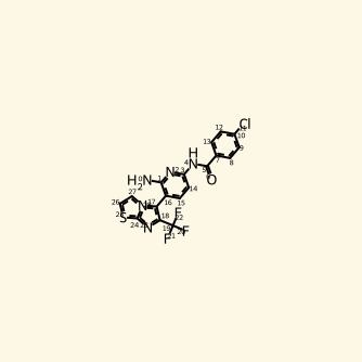 Nc1nc(NC(=O)c2ccc(Cl)cc2)ccc1-c1c(C(F)(F)F)nc2sccn12